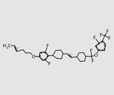 C/C=C/CCCOc1cc(F)c(C2CCC(/C=C/C3CCC(C(F)(F)Oc4ccc(C(F)(F)F)c(F)c4)CC3)CC2)c(F)c1